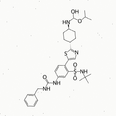 CC(C)OC(O)N[C@H]1CC[C@H](c2ncc(-c3ccc(NC(=O)NCc4ccccc4)cc3S(=O)(=O)NC(C)(C)C)s2)CC1